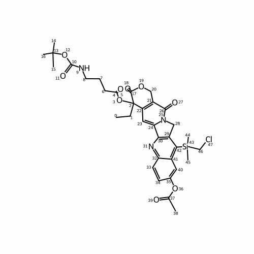 CCC1(OC(=O)CCCNC(=O)OC(C)(C)C)C(=O)OCc2c1cc1n(c2=O)Cc2c-1nc1ccc(OC(C)=O)cc1c2[Si](C)(C)CCl